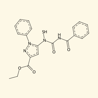 CCOC(=O)c1cc(N(S)C(=O)NC(=O)c2ccccc2)n(-c2ccccc2)n1